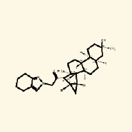 C[C@@]1(O)CC[C@H]2[C@H](CC[C@@H]3[C@@H]2CC[C@@]2(C)[C@H]3[C@@H]3C[C@@H]3[C@@H]2C(=O)Cn2cc3c(n2)CCCC3)C1